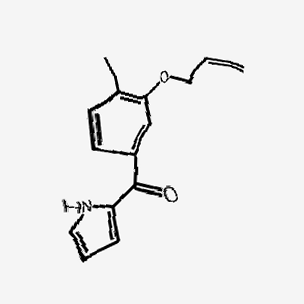 C=CCOc1cc(C(=O)c2ccc[nH]2)ccc1C